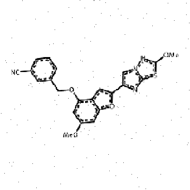 COc1cc(OCc2cccc(C#N)c2)c2cc(-c3cn4nc(OC)sc4n3)oc2c1